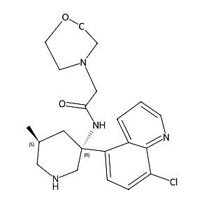 C[C@@H]1CNC[C@](NC(=O)CN2CCOCC2)(c2ccc(Cl)c3ncccc23)C1